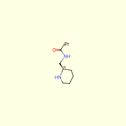 CC(C)C(=O)NC[C@H]1CCCCN1